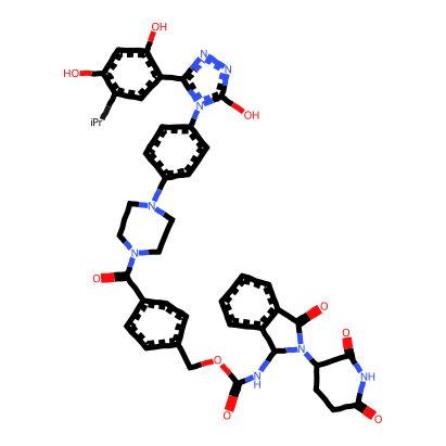 CC(C)c1cc(-c2nnc(O)n2-c2ccc(N3CCN(C(=O)c4ccc(COC(=O)NC5c6ccccc6C(=O)N5C5CCC(=O)NC5=O)cc4)CC3)cc2)c(O)cc1O